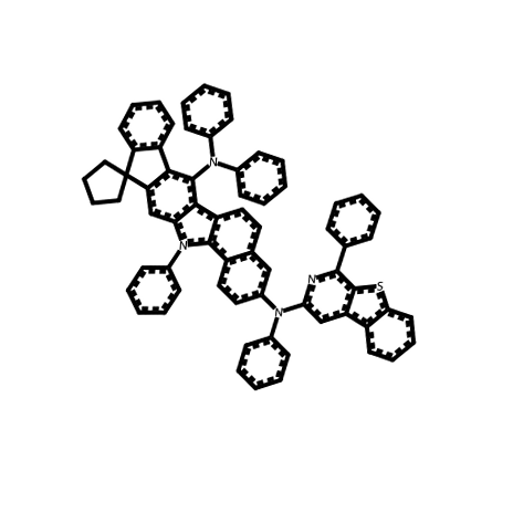 c1ccc(-c2nc(N(c3ccccc3)c3ccc4c(ccc5c6c(N(c7ccccc7)c7ccccc7)c7c(cc6n(-c6ccccc6)c45)C4(CCCC4)c4ccccc4-7)c3)cc3c2sc2ccccc23)cc1